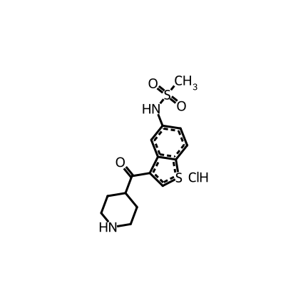 CS(=O)(=O)Nc1ccc2scc(C(=O)C3CCNCC3)c2c1.Cl